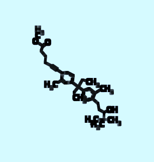 CCC(CC)(c1ccc(C#CCCCC(=O)OC)c(C)c1)c1ccc(CCC(O)C(C)(C)C)c(C)c1